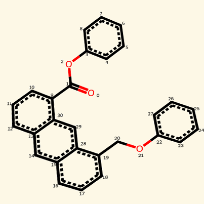 O=C(Oc1ccccc1)c1cccc2cc3cccc(COc4ccccc4)c3cc12